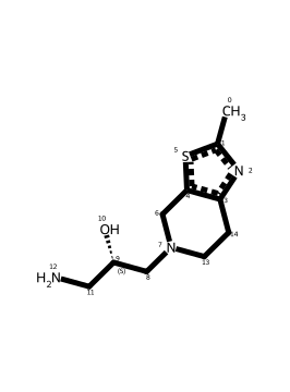 Cc1nc2c(s1)CN(C[C@@H](O)CN)CC2